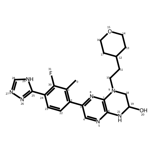 Cc1c(-c2cnc3c(n2)N(CCC2CCOCC2)CC(O)N3)ccc(-c2nnc[nH]2)c1F